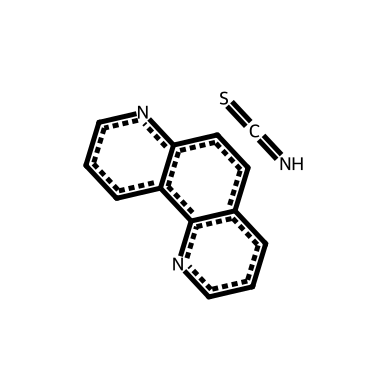 N=C=S.c1cnc2c(c1)ccc1ncccc12